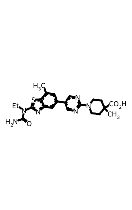 CCN(C(N)=O)c1nc2cc(-c3cnc(N4CCC(C)(C(=O)O)CC4)nc3)cc(C)c2s1